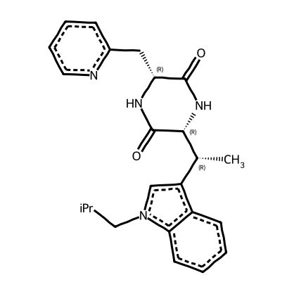 CC(C)Cn1cc([C@@H](C)[C@H]2NC(=O)[C@@H](Cc3ccccn3)NC2=O)c2ccccc21